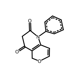 O=C1CC(=O)N(c2ccccc2)C2=C1COC=C2